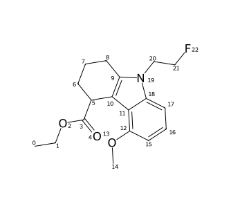 CCOC(=O)C1CCCc2c1c1c(OC)cccc1n2CCF